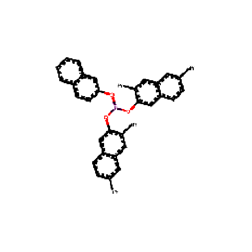 CC(C)c1ccc2cc(OP(Oc3ccc4ccccc4c3)Oc3cc4ccc(C(C)C)cc4cc3C(C)C)c(C(C)C)cc2c1